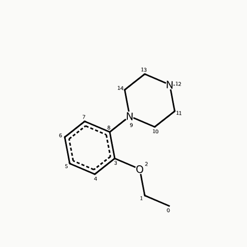 CCOc1ccccc1N1CC[N]CC1